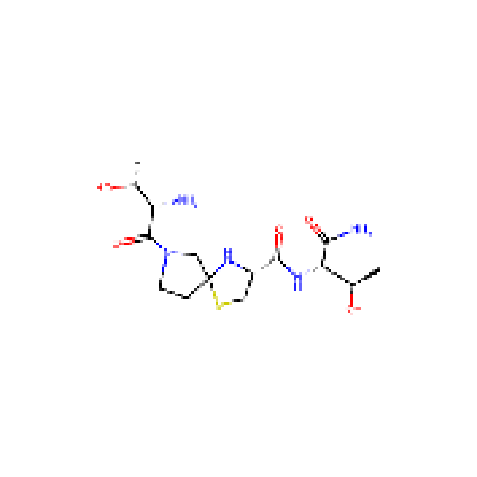 C[C@@H](O)[C@H](N)C(=O)N1CCC2(C1)N[C@H](C(=O)N[C@H](C(N)=O)[C@@H](C)O)CS2